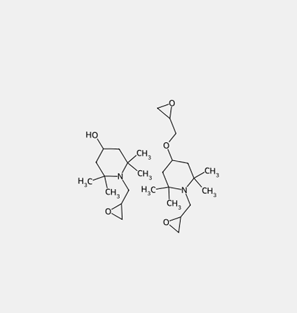 CC1(C)CC(O)CC(C)(C)N1CC1CO1.CC1(C)CC(OCC2CO2)CC(C)(C)N1CC1CO1